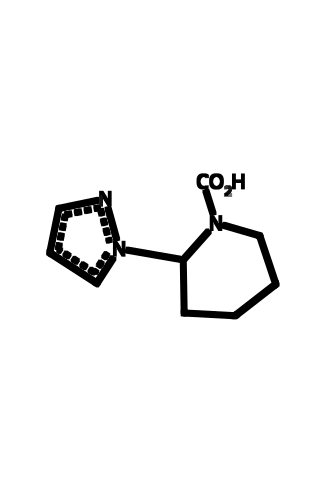 O=C(O)N1CCCCC1n1cccn1